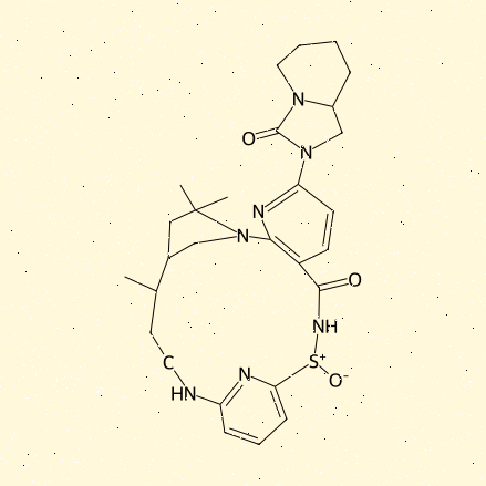 CC1CCNc2cccc(n2)[S+]([O-])NC(=O)c2ccc(N3CC4CCCCN4C3=O)nc2N2CC1CC2(C)C